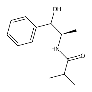 CC(C)C(=O)N[C@H](C)C(O)c1ccccc1